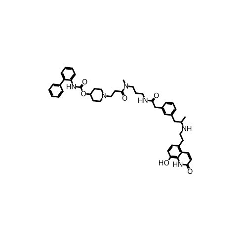 CC(Cc1cccc(CC(=O)NCCCN(C)C(=O)CCN2CCC(OC(=O)Nc3ccccc3-c3ccccc3)CC2)c1)NCCc1ccc(O)c2[nH]c(=O)ccc12